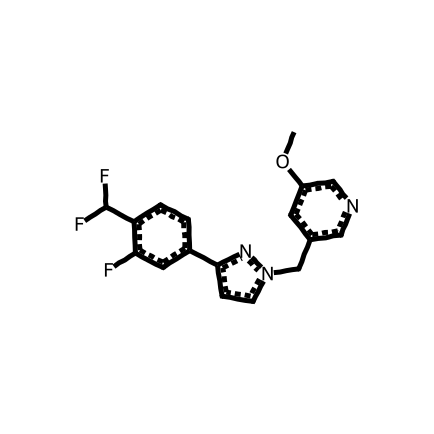 COc1cncc(Cn2ccc(-c3ccc(C(F)F)c(F)c3)n2)c1